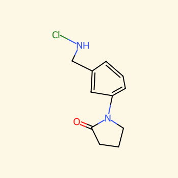 O=C1CCCN1c1cccc(CNCl)c1